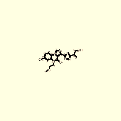 COCCn1c(=O)c2c(-c3nc(C(C)CO)no3)ncn2c2ccc(Cl)cc21